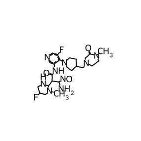 CN1CCN(CC2CCN(c3c(F)cncc3NC(=O)C(C(N)N=O)C3NCC(F)CN3C)CC2)CC1=O